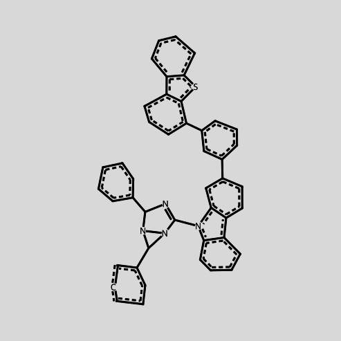 c1ccc(C2N=C(n3c4ccccc4c4ccc(-c5cccc(-c6cccc7c6sc6ccccc67)c5)cc43)N3C(c4ccccc4)N23)cc1